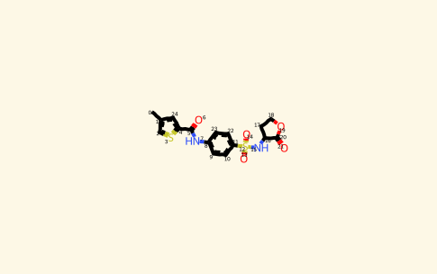 Cc1csc(C(=O)Nc2ccc(S(=O)(=O)NC3CCOC3=O)cc2)c1